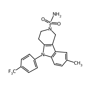 Cc1ccc2c(c1)c1c(n2-c2ccc(C(F)(F)F)cc2)CCN(S(N)(=O)=O)C1